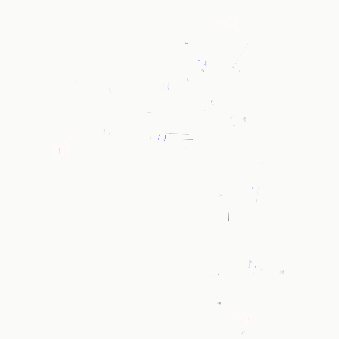 Oc1cccc(-c2nc(N3CCOCC3)c3sc(CN4CCC(N5CCOCC5)CC4)cc3n2)c1